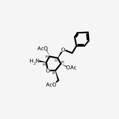 CC(=O)OC[C@H]1O[C@@H](N)[C@H](OC(C)=O)[C@@H](OCc2ccccc2)[C@@H]1OC(C)=O